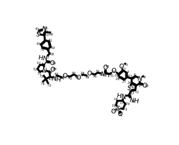 COc1cc(-c2cn(C)c(=O)c3cc(C(=N)NC4CCS(=O)(=O)CC4)sc23)ccc1OCC(=O)NCCOCCOCCOCCNC(C(=O)N1CCC[C@H]1C(=O)NCc1ccc(-c2scnc2C)cc1)C(C)(C)C